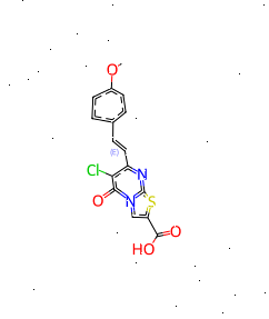 COc1ccc(/C=C/c2nc3sc(C(=O)O)cn3c(=O)c2Cl)cc1